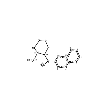 NC(c1cnc2cccnc2n1)C1CCCCN1C(=O)O